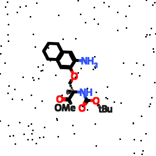 COC(=O)[C@H](COc1cc2c(cc1N)CCCC2)NC(=O)OC(C)(C)C